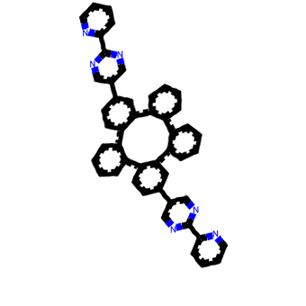 c1ccc(-c2ncc(-c3ccc4c5ccccc5c5ccc(-c6cnc(-c7ccccn7)nc6)cc5c5ccccc5c5ccccc5c4c3)cn2)nc1